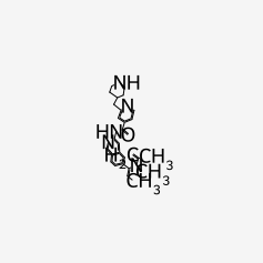 C=C(C)N(C)/C(=C\C)c1ccc2cnc(NC(=O)c3ccnc(CC4CCNCC4)c3)cc2c1